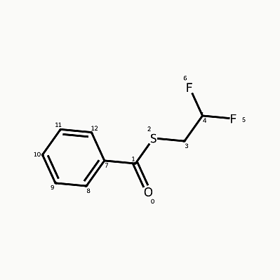 O=C(SC[C](F)F)c1ccccc1